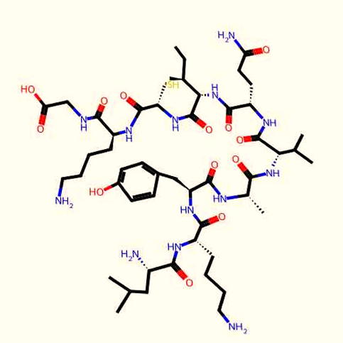 CC[C@H](C)[C@H](NC(=O)[C@H](CCC(N)=O)NC(=O)[C@@H](NC(=O)[C@H](C)NC(=O)[C@H](Cc1ccc(O)cc1)NC(=O)[C@H](CCCCN)NC(=O)[C@@H](N)CC(C)C)C(C)C)C(=O)N[C@@H](CS)C(=O)N[C@@H](CCCCN)C(=O)NCC(=O)O